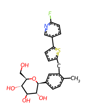 Cc1ccc([C@@H]2O[C@H](CO)[C@@H](O)[C@H](O)[C@H]2O)cc1Cc1ccc(-c2ccc(F)nc2)s1